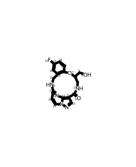 O=C1NCC(CO)Oc2ccc(F)cc2CNc2ccn3ncc1c3n2